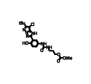 COC(=O)OCCCNC(=O)Nc1ccc(O)c(-c2nn3nc(C(C)(C)C)c(Cl)c3[nH]2)c1